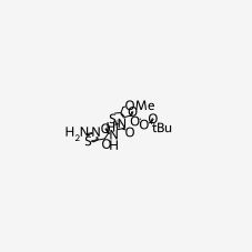 COCC1=C(C(=O)OCOC(=O)C(C)(C)C)N2C(=O)C(NC(=O)C(=O)c3csc(N)n3)[C@@H]2SC1